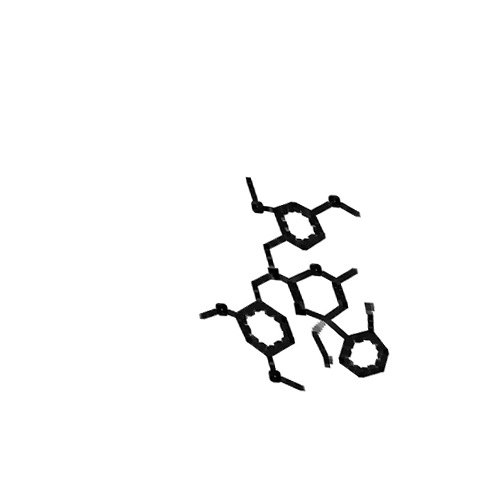 COc1ccc(CN(Cc2ccc(OC)cc2OC)C2=N[C@](CF)(c3ccccc3F)C=C(C)O2)c(OC)c1